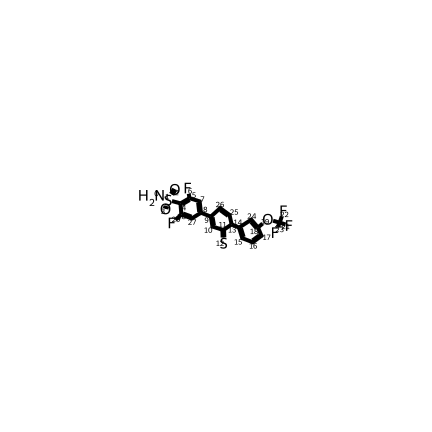 NS(=O)(=O)c1c(F)cc(C2=CC(=S)C(c3cccc(OC(F)(F)F)c3)C=C2)cc1F